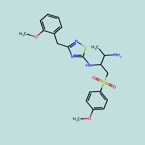 COc1ccc(S(=O)(=O)CC(Nc2nc(Cc3ccccc3OC)ns2)C(C)N)cc1